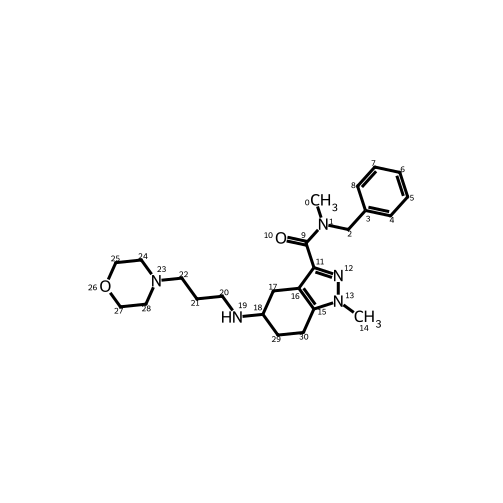 CN(Cc1ccccc1)C(=O)c1nn(C)c2c1CC(NCCCN1CCOCC1)CC2